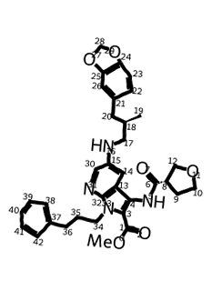 COC(=O)c1c(NC(=O)[C@H]2CCOC2)c2cc(NC[C@H](C)Cc3ccc4c(c3)OCO4)cnc2n1CCCc1ccccc1